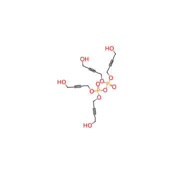 O=P(OCC#CCO)(OCC#CCO)OP(=O)(OCC#CCO)OCC#CCO